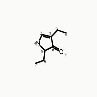 CCC1=[C][N]C(CC)C1=O